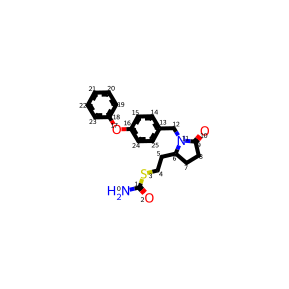 NC(=O)SCCC1CCC(=O)N1Cc1ccc(Oc2ccccc2)cc1